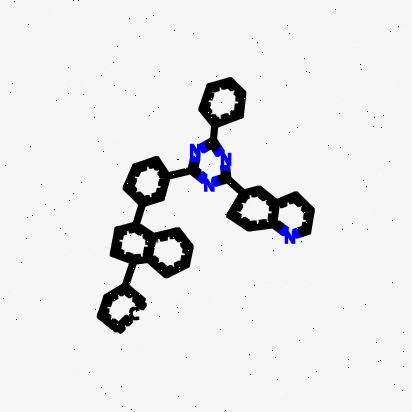 c1ccc(-c2nc(-c3cccc(-c4ccc(-c5ccccc5)c5ccccc45)c3)nc(-c3ccc4ncccc4c3)n2)cc1